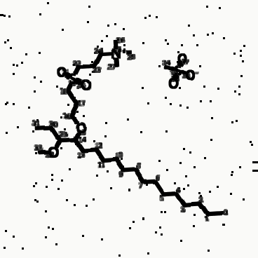 CCCCCCCCCCCCCCC(OCCCS(=O)(=O)CCC[N+](C)(C)C)C(CC)OC.CS(=O)(=O)[O-]